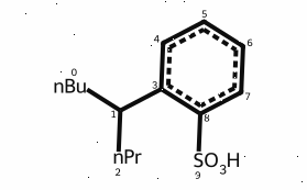 CCCCC(CCC)c1ccccc1S(=O)(=O)O